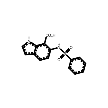 O=C(O)c1c(NS(=O)(=O)c2ccccc2)ccc2cc[nH]c12